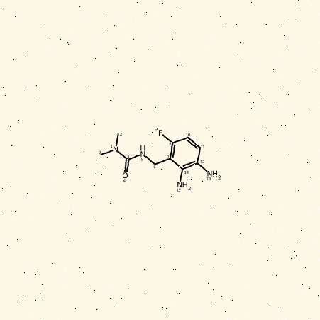 CN(C)C(=O)NCc1c(F)ccc(N)c1N